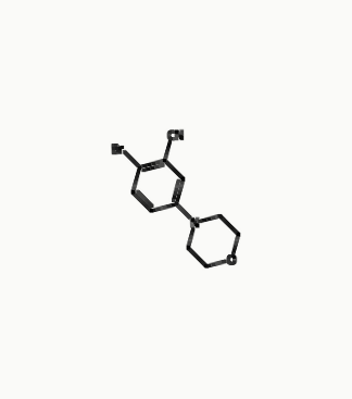 N#Cc1cc(N2CCOCC2)ccc1Br